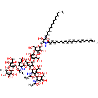 CCCCCCCCCCCCC/C=C/[C@@H](O)[C@H](CO[C@@H]1OC(CO)[C@@H](O[C@@H]2OC(CO)[C@H](O[C@@H]3OC(CO)[C@H](O[C@@H]4OC(CO)[C@H](O)[C@H](O[C@@H]5OC(CO)[C@H](O)[C@H](O)C5O[C@H]5OC(C)[C@@H](O)C(O)[C@@H]5O)C4NC(C)=O)[C@H](O[C@@H]4OC(CO)[C@H](O)[C@H](O[C@H]5OC(CO)[C@H](O)[C@H](O)C5NC(C)=O)C4NC(C)=O)C3O)[C@H](O)C2O)[C@H](O)C1O)NC(=O)CCCCCCCCCCCCCCCCCCCCC